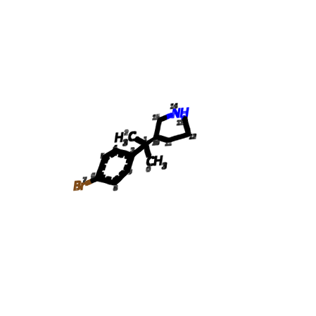 CC(C)(c1ccc(Br)cc1)[C@@H]1CCCNC1